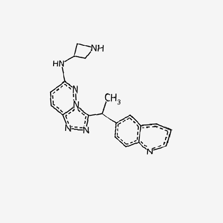 CC(c1ccc2ncccc2c1)c1nnc2ccc(NC3CNC3)nn12